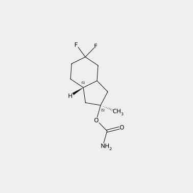 C[C@@]1(OC(N)=O)CC2CC(F)(F)CC[C@H]2C1